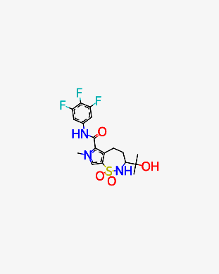 Cn1cc2c(c1C(=O)Nc1cc(F)c(F)c(F)c1)CCC(C(C)(C)O)NS2(=O)=O